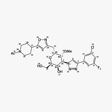 CO[C@@H]1[C@@H](n2cc(-c3cc(F)cc(Cl)c3)nn2)[C@@H](O)[C@@H](CO)O[C@@H]1Cc1cc(C2CCN(C(C)=O)CC2)on1